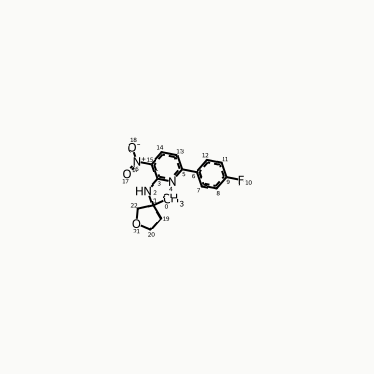 CC1(Nc2nc(-c3ccc(F)cc3)ccc2[N+](=O)[O-])CCOC1